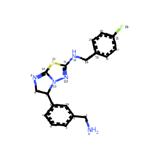 NCc1cccc(C2CN=C3SC(NCc4ccc(F)cc4)=NN32)c1